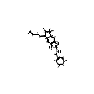 CCCCCN1C(=O)C(C)(C)c2cc3nc(NCc4cccnc4)[nH]c3cc21